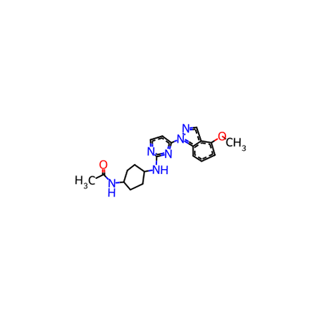 COc1cccc2c1cnn2-c1ccnc(NC2CCC(NC(C)=O)CC2)n1